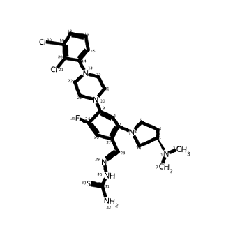 CN(C)[C@@H]1CCN(c2cc(N3CCN(c4cccc(Cl)c4Cl)CC3)c(F)cc2/C=N/NC(N)=S)C1